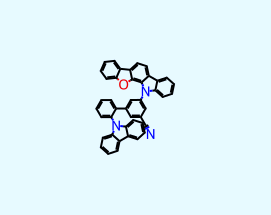 N#Cc1cc(-c2ccccc2-n2c3ccccc3c3ccccc32)cc(-n2c3ccccc3c3ccc4c5ccccc5oc4c32)c1